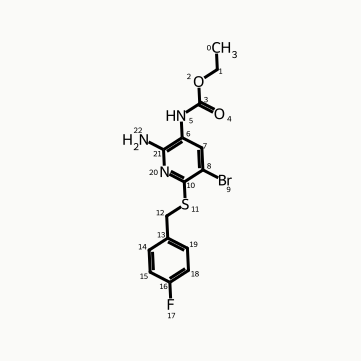 CCOC(=O)Nc1cc(Br)c(SCc2ccc(F)cc2)nc1N